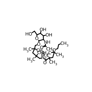 CCCOC(C)(C)CC(C)(C)C(=O)NCC(C)(C)CC(C)(C)COC1OC(CO)C(O)C(O)C1NC(C)=O